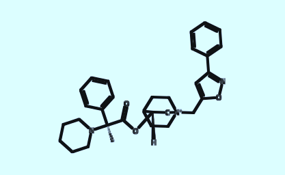 C[C@@](C(=O)O[C@H]1C[N+]2(Cc3cc(-c4ccccc4)no3)CCC1CC2)(c1ccccc1)N1CCCCC1